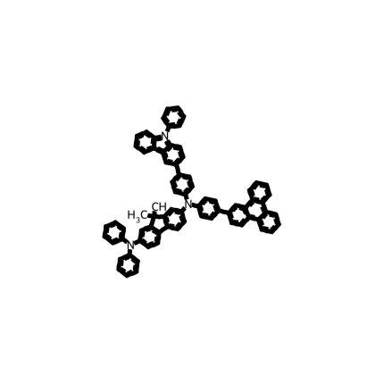 CC1(C)c2cc(N(c3ccccc3)c3ccccc3)ccc2-c2ccc(N(c3ccc(-c4ccc5c6ccccc6c6ccccc6c5c4)cc3)c3ccc(-c4ccc5c(c4)c4ccccc4n5-c4ccccc4)cc3)cc21